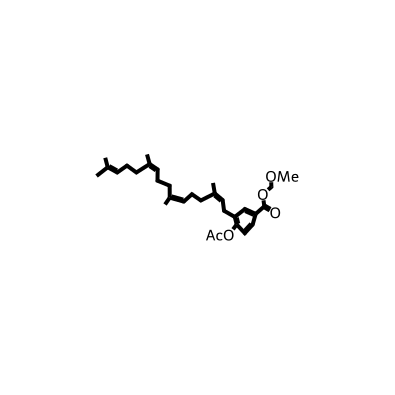 COCOC(=O)c1ccc(OC(C)=O)c(CC=C(C)CCC=C(C)CCC=C(C)CCC=C(C)C)c1